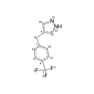 FC(F)(F)c1ccc(Cc2cn[nH]c2)cc1